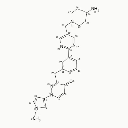 Cn1cc(-n2ccc(=O)c(Cc3cccc(-c4ncc(CN5CCC(N)CC5)cn4)c3)n2)cn1